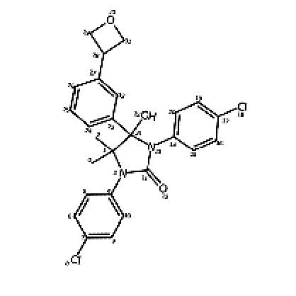 CC1(C)N(c2ccc(Cl)cc2)C(=O)N(c2ccc(Cl)cc2)C1(O)c1cccc(C2COC2)c1